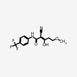 COCC/C(O)=C(\C#N)C(=O)Nc1ccc(C(F)(F)F)cc1